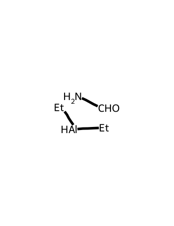 C[CH2][AlH][CH2]C.NC=O